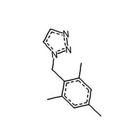 Cc1cc(C)c(Cn2ccnn2)c(C)c1